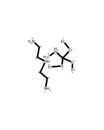 CCOC(OCC)(OCC)[SiH2]C.NCCNCCN